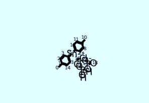 Cc1cc[c]([Sn+2][c]2ccc(C)cc2)cc1.ClCCl.O=[PH]([O-])O[PH](=O)[O-]